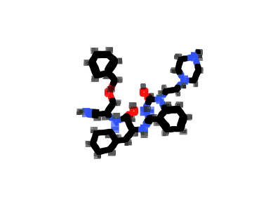 CN1CCN(CCn2c(=O)[nH]c(=NC(CC3CCCCC3)C(=O)NC(C#N)COCc3ccccc3)c3ccccc32)CC1